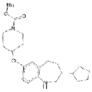 CC(C)(C)OC(=O)N1CCC(Oc2ccc3c(c2)CCC(C2CCCC2)CN3)CC1